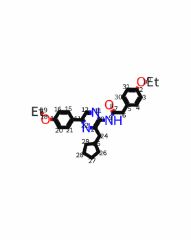 CCOc1ccc(CC(=O)Nc2ncc(-c3ccc(OCC)cc3)nc2CC2CCCC2)cc1